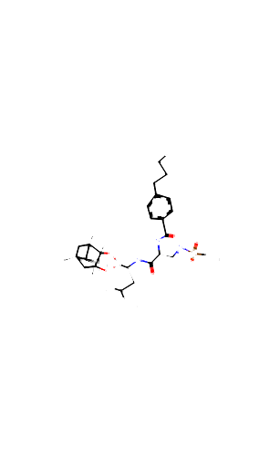 CCCCc1ccc(C(=O)N[C@@H](CNS(C)(=O)=O)C(=O)N[C@@H](CC(C)C)B2O[C@@H]3C[C@@H]4C[C@@H](C4(C)C)[C@]3(C)O2)cc1